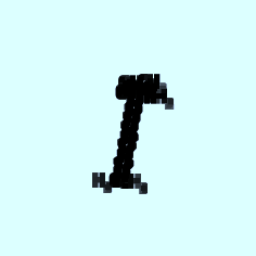 CCCCCCCCCCCCCCCCCCCCC(CC(C)C(CCCCCCCCCCCCCCCCCCCC)C(N)=O)C(=O)O